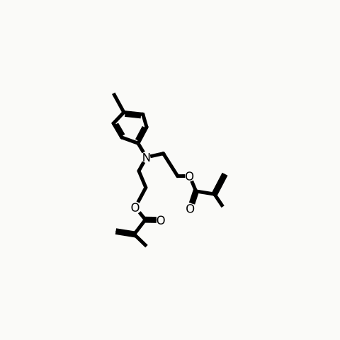 C=C(C)C(=O)OCCN(CCOC(=O)C(=C)C)c1ccc(C)cc1